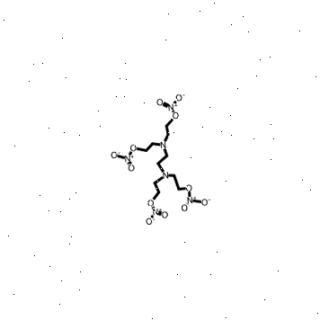 O=[N+]([O-])OCCN(CCO[N+](=O)[O-])CCN(CCO[N+](=O)[O-])CCO[N+](=O)[O-]